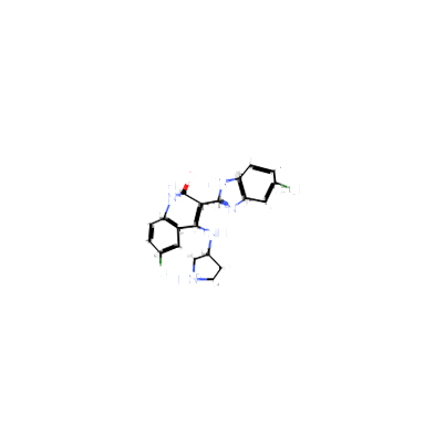 O=c1[nH]c2ccc(Cl)cc2c(NC2CCNC2)c1-c1nc2cc(Cl)ccc2[nH]1